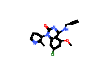 C#CCNc1nc(=O)n(-c2cccnc2C)c2cc(Cl)cc(OC)c12